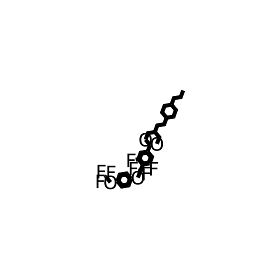 CCCC1CCC(CCC2COC(c3cc(F)c(C(F)(F)Oc4ccc(OC(F)(F)F)cc4)c(F)c3)OC2)CC1